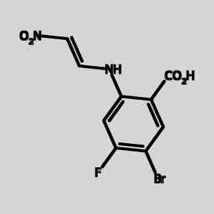 O=C(O)c1cc(Br)c(F)cc1NC=C[N+](=O)[O-]